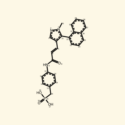 Cn1ncc(C=CC(=O)Nc2ccc(CP(=O)(O)O)cc2)c1-c1cccc2ccccc12